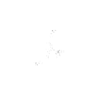 O=C(N=CN1C[C@@H](S)C[C@H]1C(=O)N1CCN(C(=O)OCc2ccc([N+](=O)[O-])cc2)CC1)OCc1ccc([N+](=O)[O-])cc1.O=S(=O)(O)C(F)(F)F